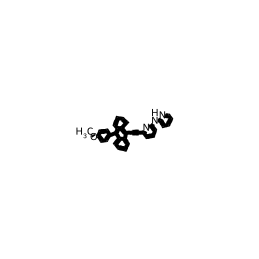 COc1ccc(-c2c3ccccc3c(C#Cc3cccc(Nc4ccccn4)n3)c3ccccc23)cc1